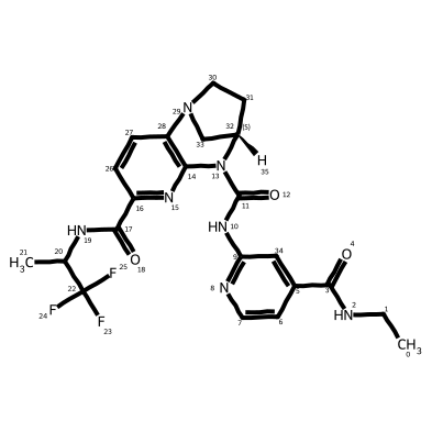 CCNC(=O)c1ccnc(NC(=O)N2c3nc(C(=O)NC(C)C(F)(F)F)ccc3N3CC[C@H]2C3)c1